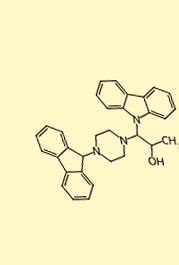 CC(O)C(N1CCN(C2c3ccccc3-c3ccccc32)CC1)n1c2ccccc2c2ccccc21